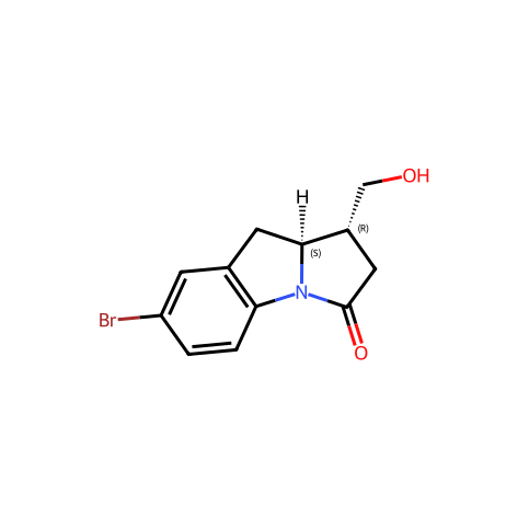 O=C1C[C@@H](CO)[C@@H]2Cc3cc(Br)ccc3N12